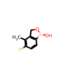 Cc1c(F)ccc2c1COB2O